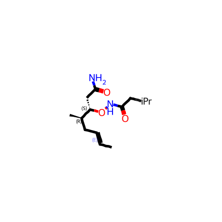 C/C=C/C[C@@H](C)[C@H](CC(N)=O)ONC(=O)CC(C)C